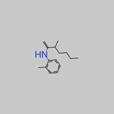 C=C(Nc1ccccc1C)C(C)CCCC